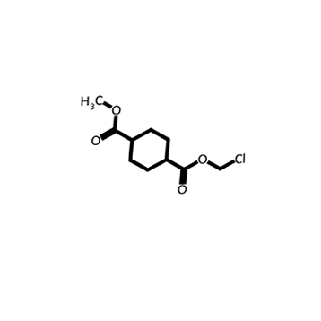 COC(=O)C1CCC(C(=O)OCCl)CC1